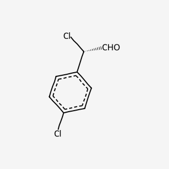 O=C[C@@H](Cl)c1ccc(Cl)cc1